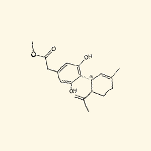 C=C(C)C1CCC(C)=C[C@H]1c1c(O)cc(CC(=O)OC)cc1O